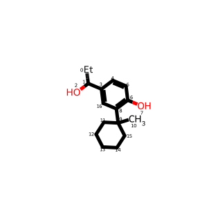 CCC(O)c1ccc(O)c(C2(C)CCCCC2)c1